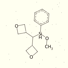 CO[SiH](c1ccccc1)C(C1COC1)C1COC1